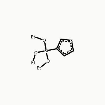 CCO[Si](OCC)(OCC)c1ccsc1